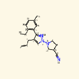 C=CCc1cn(N2CCC(C#N)C2)nc1-c1cc(C)ccc1CC